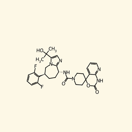 CC(C)(O)c1cnc2n1C[C@H](c1c(F)cccc1F)CC[C@H]2NC(=O)N1CCC2(CC1)OC(=O)Nc1ncccc12